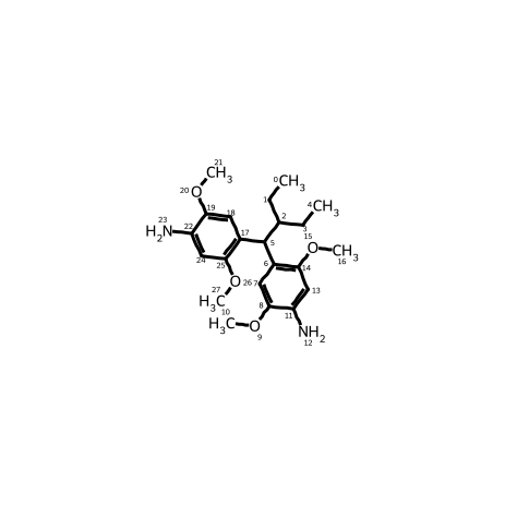 CCC(CC)C(c1cc(OC)c(N)cc1OC)c1cc(OC)c(N)cc1OC